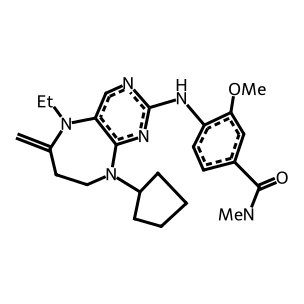 C=C1CCN(C2CCCC2)c2nc(Nc3ccc(C(=O)NC)cc3OC)ncc2N1CC